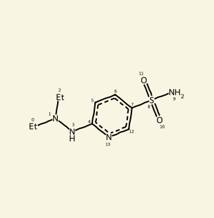 CCN(CC)Nc1ccc(S(N)(=O)=O)cn1